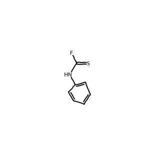 FC(=S)Nc1ccccc1